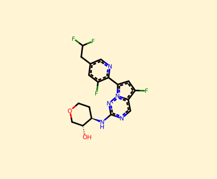 O[C@@H]1COCC[C@H]1Nc1ncc2c(F)cc(-c3ncc(CC(F)F)cc3F)n2n1